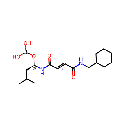 CC(C)C[C@H](NC(=O)/C=C/C(=O)NCC1CCCCC1)OB(O)O